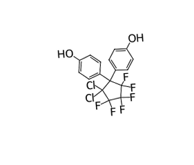 Oc1ccc(C2(c3ccc(O)cc3)C(F)(F)C(F)(F)C(F)(F)C2(Cl)Cl)cc1